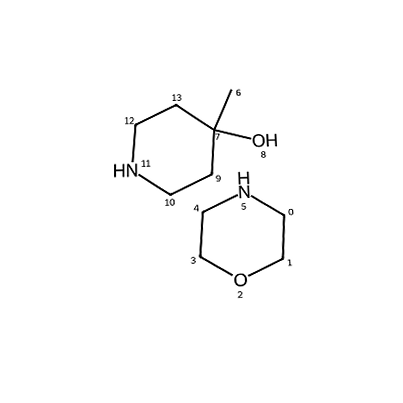 C1COCCN1.CC1(O)CCNCC1